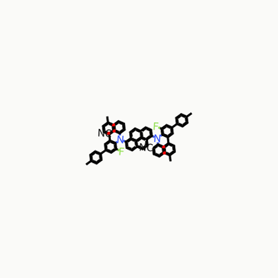 Cc1ccc(-c2cc(F)c(N(c3ccccc3C#N)c3ccc4ccc5c(N(c6ccccc6C#N)c6c(F)cc(-c7ccc(C)cc7)cc6-c6ccc(C)cc6)ccc6ccc3c4c65)c(-c3ccc(C)cc3)c2)cc1